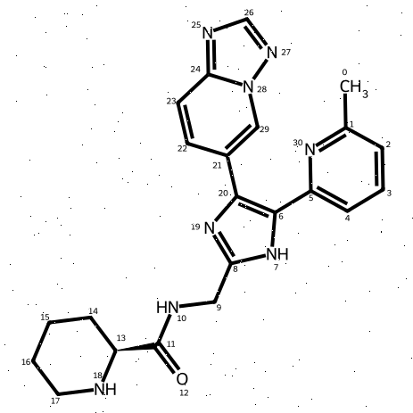 Cc1cccc(-c2[nH]c(CNC(=O)[C@@H]3CCCCN3)nc2-c2ccc3ncnn3c2)n1